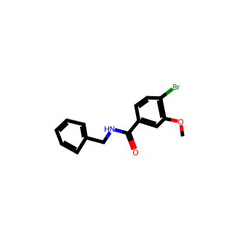 COc1cc(C(=O)NCc2ccccc2)ccc1Br